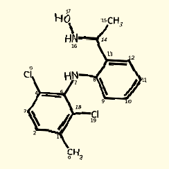 Cc1ccc(Cl)c(Nc2ccccc2C(C)NO)c1Cl